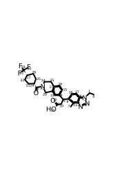 CCn1nnc2c(C)c(C(CC(=O)O)c3ccc4c(c3)CN(C(=O)[C@H]3CC[C@@H](C(F)(F)F)CC3)CC4)ccc21